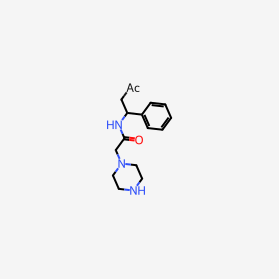 CC(=O)CC(NC(=O)CN1CCNCC1)c1ccccc1